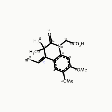 CCC/C=C1/c2cc(OC)c(OC)cc2N(CC(=O)O)C(=O)C1(C)C